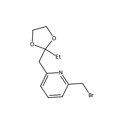 CCC1(Cc2cccc(CBr)n2)OCCO1